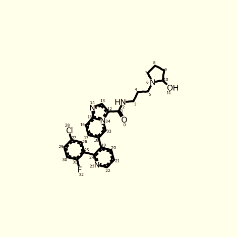 O=C(NCCCN1CCCC1O)c1cnc2ccc(-c3cccnc3-c3cc(Cl)ccc3F)cn12